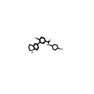 O=C(NC1CCC(O)CC1)c1ccc(Cl)c(-c2ccc3c(c2)CCCN3)c1